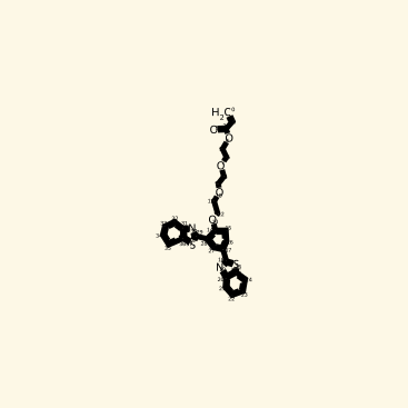 C=CC(=O)OCCOCCOCCOc1ccc(-c2nc3ccccc3s2)cc1-c1nc2ccccc2s1